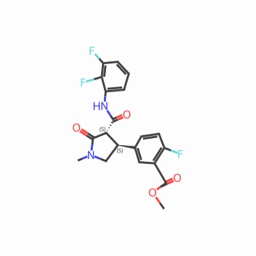 COC(=O)c1cc([C@H]2CN(C)C(=O)[C@@H]2C(=O)Nc2cccc(F)c2F)ccc1F